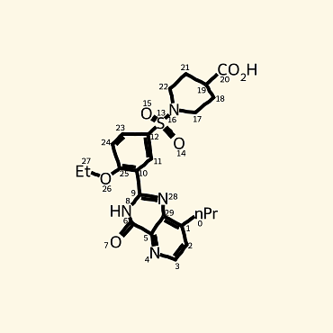 CCCc1ccnc2c(=O)[nH]c(-c3cc(S(=O)(=O)N4CCC(C(=O)O)CC4)ccc3OCC)nc12